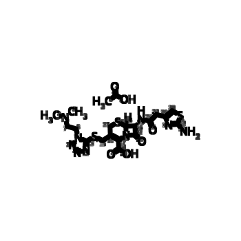 CC(=O)O.CN(C)CCn1nnnc1SCC1=C(C(=O)O)N2C(=O)[C@@H](NC(=O)Cc3csc(N)n3)[C@H]2SC1